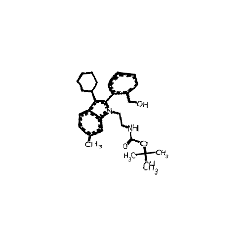 Cc1ccc2c(C3CCCCC3)c(-c3ccccc3CO)n(CCNC(=O)OC(C)(C)C)c2c1